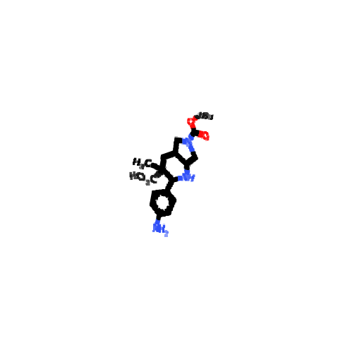 CC(C)(C)OC(=O)N1CC2CC(C)(C(=O)O)C(c3ccc(N)cc3)NC2C1